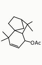 CC(=O)OC1C=CC(C)(C)C23CCC(C2)C(C)(C)C13